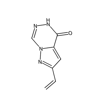 C=Cc1cc2c(=O)[nH]ncn2n1